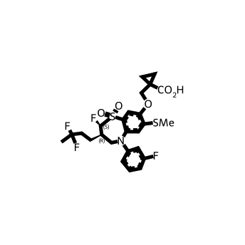 CSc1cc2c(cc1OCC1(C(=O)O)CC1)S(=O)(=O)[C@H](F)[C@H](CCC(C)(F)F)CN2c1cccc(F)c1